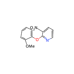 COc1ccccc1Oc1ncccc1[N+](=O)[O-]